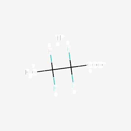 O=C([O-])C(F)(F)C(F)(F)C(F)(F)F.[Tl+]